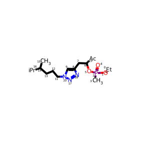 CCOP(C)(=O)OC(Cc1cn(CCCC(C)C(C)C)nn1)C(C)=O